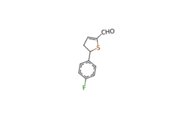 O=CC1=CCC(c2ccc(F)cc2)S1